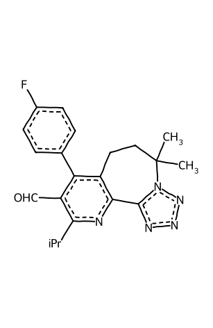 CC(C)c1nc2c(c(-c3ccc(F)cc3)c1C=O)CCC(C)(C)n1nnnc1-2